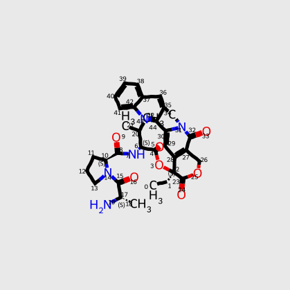 CC[C@@]1(OC(=O)[C@@H](NC(=O)[C@@H]2CCCN2C(=O)[C@H](C)N)C(C)C)C(=O)OCc2c1cc1n(c2=O)Cc2cc3ccccc3nc2-1